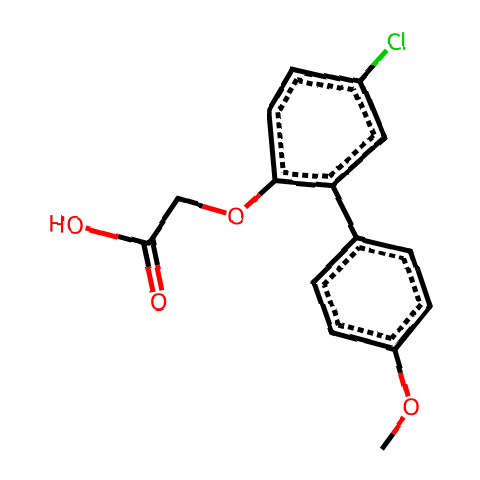 COc1ccc(-c2cc(Cl)ccc2OCC(=O)O)cc1